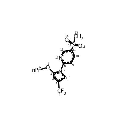 CCCOc1cc(C(F)(F)F)nn1-c1ccc(S(C)(=O)=O)cn1